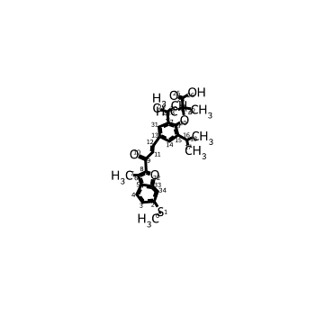 CSc1ccc2c(C)c(C(=O)C=Cc3cc(C(C)C)c(OC(C)(C)C(=O)O)c(C(C)C)c3)oc2c1